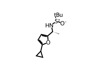 C[C@@H](N[S@@+]([O-])C(C)(C)C)c1ccc(C2CC2)o1